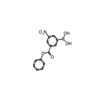 O=C(Oc1ccccc1)c1cc(B(O)O)cc([N+](=O)[O-])c1